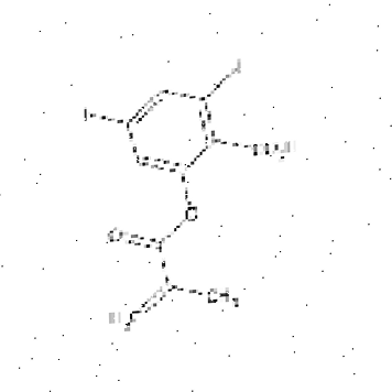 C=C(C)C(=O)Oc1cc(I)cc(I)c1C(=O)O